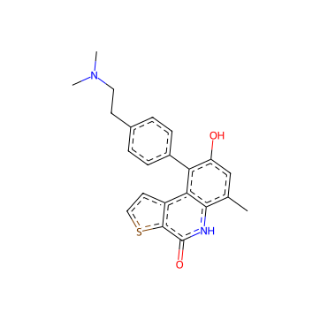 Cc1cc(O)c(-c2ccc(CCN(C)C)cc2)c2c1[nH]c(=O)c1sccc12